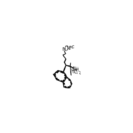 CCCCCCCCCCCCCCC(c1cccc2ccccc12)C(C)(C)N.Cl